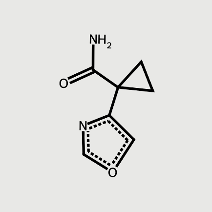 NC(=O)C1(c2cocn2)CC1